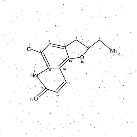 NCC1Cc2cc(Cl)c3[nH]c(=O)ccc3c2O1